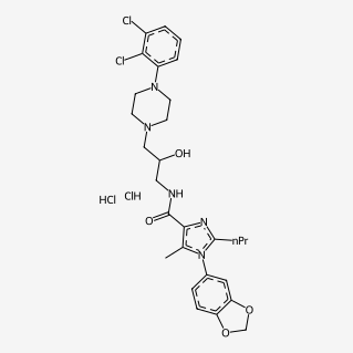 CCCc1nc(C(=O)NCC(O)CN2CCN(c3cccc(Cl)c3Cl)CC2)c(C)n1-c1ccc2c(c1)OCO2.Cl.Cl